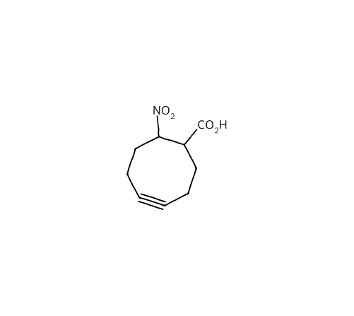 O=C(O)C1CCC#CCCC1[N+](=O)[O-]